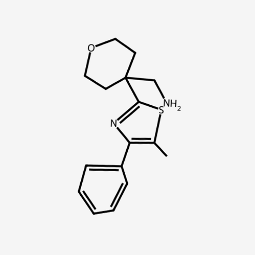 Cc1sc(C2(CN)CCOCC2)nc1-c1ccccc1